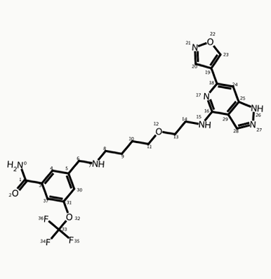 NC(=O)c1cc(CNCCCCOCCNc2nc(-c3cnoc3)cc3[nH]ncc23)cc(OC(F)(F)F)c1